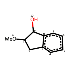 COC1Cc2ccccc2C1O